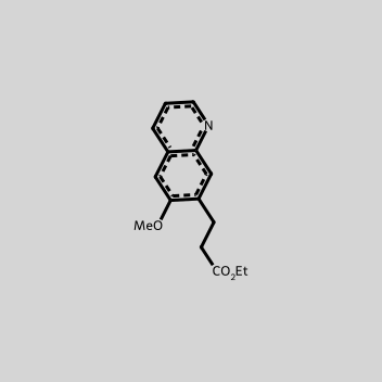 CCOC(=O)CCc1cc2ncccc2cc1OC